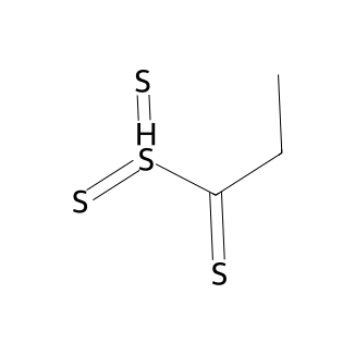 CCC(=S)[SH](=S)=S